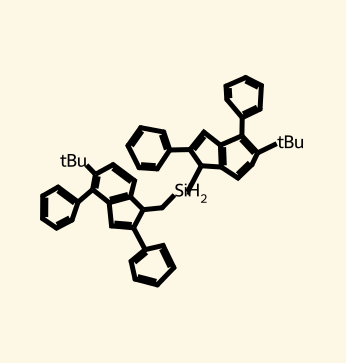 CC(C)(C)c1ccc2c(c1-c1ccccc1)C=C(c1ccccc1)C2C[SiH2]CC1C(c2ccccc2)=Cc2c1ccc(C(C)(C)C)c2-c1ccccc1